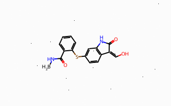 BNC(=O)c1ccccc1Sc1ccc2c(c1)NC(=O)C2=CO